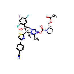 CC(=O)OC[C@@H]1CCCN1C(=O)O[n+]1cn(C[C@](O)(c2cc(F)ccc2F)[C@@H](C)c2nc(-c3ccc(C#N)cc3)cs2)nc1C.[I-]